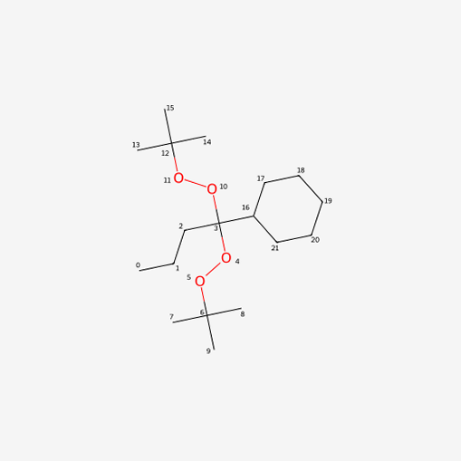 CCCC(OOC(C)(C)C)(OOC(C)(C)C)C1CCCCC1